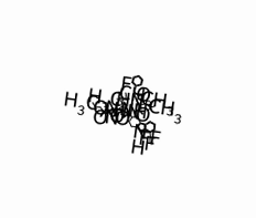 CCOC(=O)c1noc(C(NC(=O)[C@]2(NC(=O)C(NC(=O)Cc3ccccc3F)C(C)CC)CCc3[nH]c4c(C(F)(F)F)cccc4c3C2)C(C)CC)n1